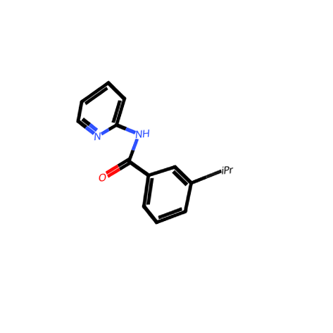 CC(C)c1cccc(C(=O)Nc2ccccn2)c1